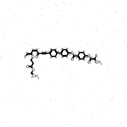 C=COC(=O)CCOC(/C=C\C(=O)C#CC1=CC=C(c2ccc(OC(=O)C3=CC=C(OC(=O)C(=C)F)CC3)cc2)CC1)=C\F